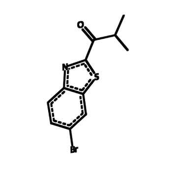 CC(C)C(=O)c1nc2ccc(Br)cc2s1